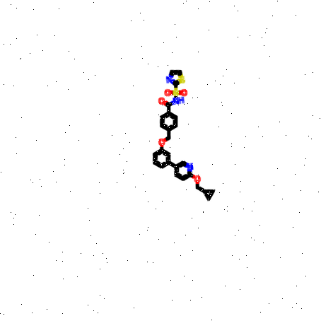 O=C(NS(=O)(=O)c1nccs1)c1ccc(COc2cccc(-c3ccc(OCC4CC4)nc3)c2)cc1